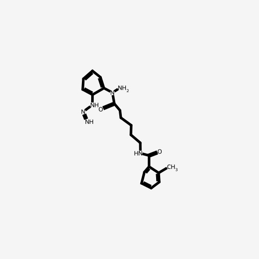 Cc1ccccc1C(=O)NCCCCCC(=O)N(N)c1ccccc1NN=N